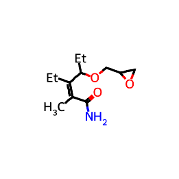 CCC(=C(C)C(N)=O)C(CC)OCC1CO1